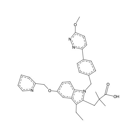 CCc1c(CC(C)(C)C(=O)O)n(Cc2ccc(-c3ccc(OC)nn3)cc2)c2ccc(OCc3ccccn3)cc12